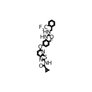 O=C(NCc1ccccc1C(F)(F)F)Nc1cc(Oc2ccc3nc(NC(=O)C4CC4)sc3n2)ccc1F